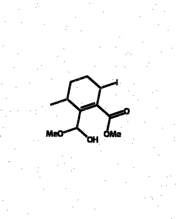 COC(=O)C1=C(C(O)OC)C(C)CCC1I